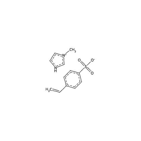 C=Cc1ccc(S(=O)(=O)[O-])cc1.C[n+]1cc[nH]c1